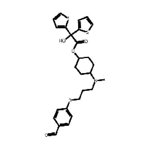 CN(CCCOc1ccc(C=O)cc1)C1CCC(OC(=O)C(O)(c2cccs2)c2cccs2)CC1